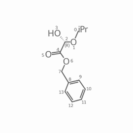 CC(C)O[C@@H](O)C(=O)OCc1ccccc1